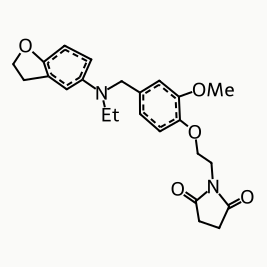 CCN(Cc1ccc(OCCN2C(=O)CCC2=O)c(OC)c1)c1ccc2c(c1)CCO2